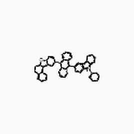 c1ccc(-n2c3ccccc3c3cc(-c4c5ccccc5c(-c5ccc6oc7ccc8ccccc8c7c6c5)c5ccccc45)ccc32)cc1